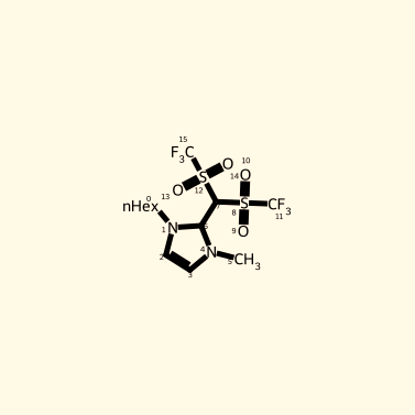 CCCCCCN1C=CN(C)C1C(S(=O)(=O)C(F)(F)F)S(=O)(=O)C(F)(F)F